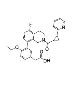 CCOc1ccc(CC(=O)O)cc1-c1ccc(F)c2c1CN(C(=O)C1CC1c1ccccn1)CC2